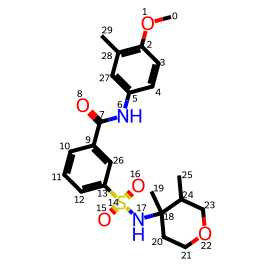 COc1ccc(NC(=O)c2cccc(S(=O)(=O)NC3(C)CCOCC3C)c2)cc1C